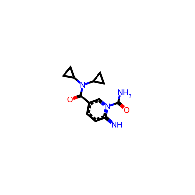 N=c1ccc(C(=O)N(C2CC2)C2CC2)cn1C(N)=O